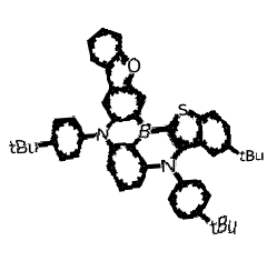 CC(C)(C)c1ccc(N2c3cc4c(cc3B3c5sc6ccc(C(C)(C)C)cc6c5N(c5ccc(C(C)(C)C)cc5)c5cccc2c53)oc2ccccc24)cc1